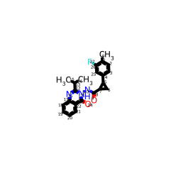 Cc1ccc(C2CC2C(=O)Nn2c(C(C)C)nc3ccccc3c2=O)cc1F